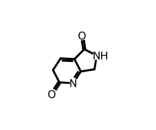 O=C1CC=C2C(=O)NCC2=N1